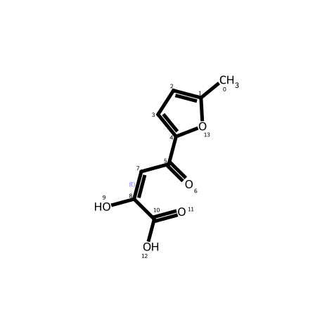 Cc1ccc(C(=O)/C=C(/O)C(=O)O)o1